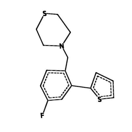 Fc1ccc(CN2CCSCC2)c(-c2cccs2)c1